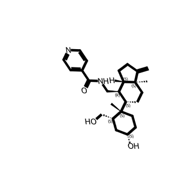 C=C1CC[C@H]2[C@H](CNC(=O)c3ccncc3)[C@@H]([C@]3(C)CC[C@H](O)C[C@@H]3CO)CC[C@]12C